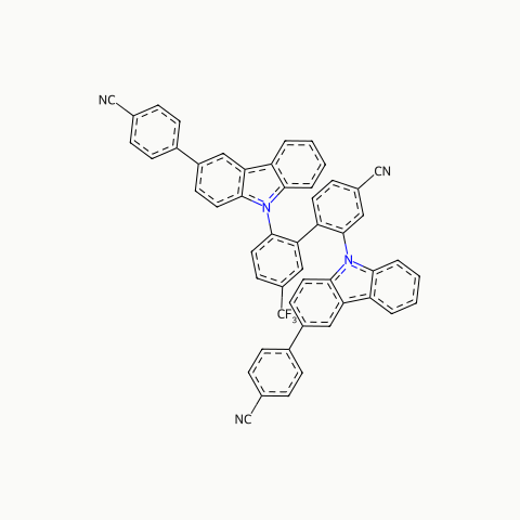 N#Cc1ccc(-c2ccc3c(c2)c2ccccc2n3-c2ccc(C(F)(F)F)cc2-c2ccc(C#N)cc2-n2c3ccccc3c3cc(-c4ccc(C#N)cc4)ccc32)cc1